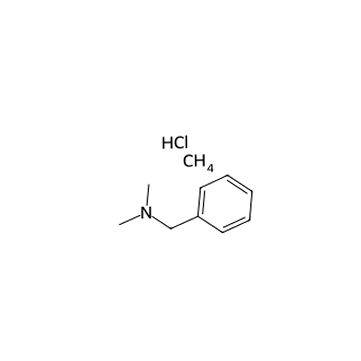 C.CN(C)Cc1ccccc1.Cl